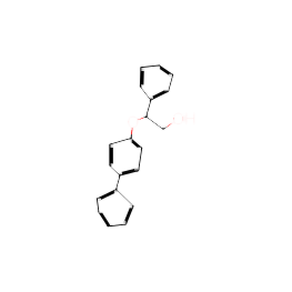 OCC(Oc1ccc(-c2ccccc2)cc1)c1ccccc1